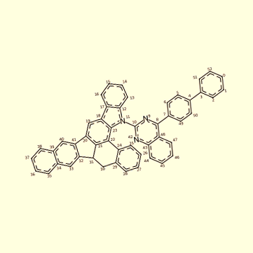 c1ccc(-c2ccc(-c3nc(-n4c5ccccc5c5cc6c7c(c54)-c4ccccc4CC7c4cc5ccccc5cc4-6)nc4ccccc34)cc2)cc1